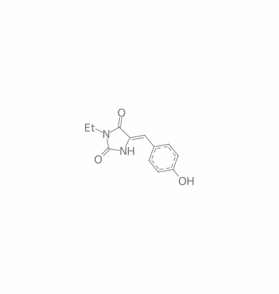 CCN1C(=O)N/C(=C\c2ccc(O)cc2)C1=O